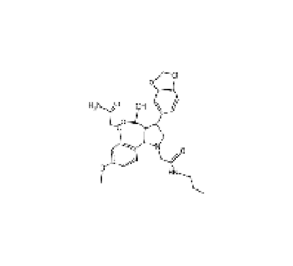 CCCNC(=O)CN1CC(c2ccc3c(c2)OCO3)C(C(=O)O)C1c1ccc(OC)cc1OCC(N)=O